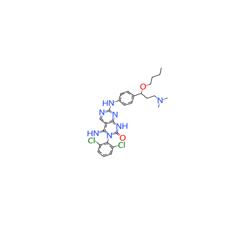 CCCCOC(CCN(C)C)c1ccc(Nc2ncc3c(=N)n(-c4c(Cl)cccc4Cl)c(=O)[nH]c3n2)cc1